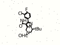 CC(C)(C)C1CN(C=O)Cc2c(C(N)=O)c(-c3ccc(F)c(Cl)c3)nn21